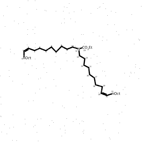 CCCCCCCC/C=C\CCCCCCCCN(CCCCCCCC/C=C\CCCCCCCC)C(=O)OCC